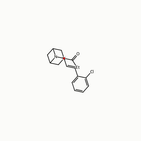 CCC(=O)N1CC2CC(C1)N2C/C=C/c1ccccc1Cl